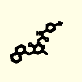 Cc1cc(Cc2cccc3ccccc23)c(=O)n(CC(=O)Nc2ccc(Br)cc2)n1